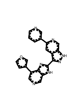 c1cncc(-c2cc3c(-c4nc5c(-c6ccoc6)cncc5[nH]4)n[nH]c3cn2)c1